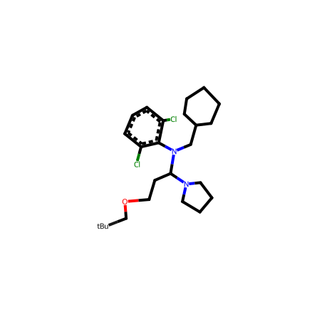 CC(C)(C)COCCC(N1CCCC1)N(CC1CCCCC1)c1c(Cl)cccc1Cl